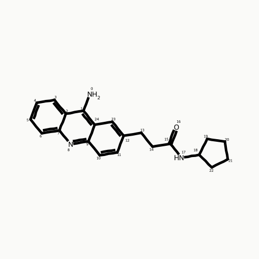 Nc1c2ccccc2nc2ccc(CCC(=O)NC3CCCC3)cc12